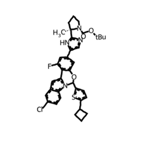 CC(C)(C)OC(=O)N1CCC[C@]1(C)c1ncc(-c2cc(F)c3c(c2)OC(c2ccc(C4CCC4)s2)n2c-3cc3cc(Cl)ccc32)[nH]1